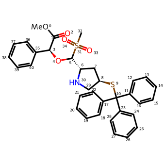 COC(=O)[C@@H](OC([C@@H]1C[C@@H](SC(c2ccccc2)(c2ccccc2)c2ccccc2)CN1)S(C)(=O)=O)c1ccccc1